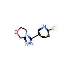 Clc1ccc(-c2nnc3n2CCOC3)cn1